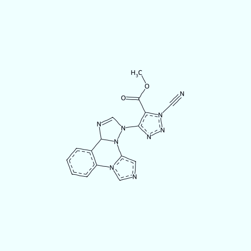 COC(=O)c1c(N2C=NC3c4ccccc4-n4cncc4N32)nnn1C#N